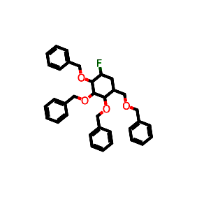 FC1CC(COCc2ccccc2)C(OCc2ccccc2)C(OCc2ccccc2)C1OCc1ccccc1